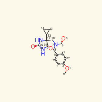 COc1ccc(CN(C=O)CC2(C3CC3)NC(=O)NC2=O)cc1